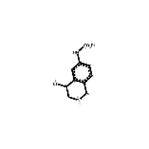 CCOC(=O)Nc1ccc2c(c1)C(CC)CNC2